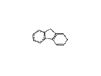 C1=CC2=C(CC1)Cc1ccccc12